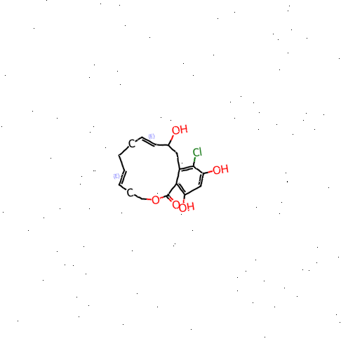 O=C1OCC/C=C/CC/C=C/C(O)Cc2c(Cl)c(O)cc(O)c21